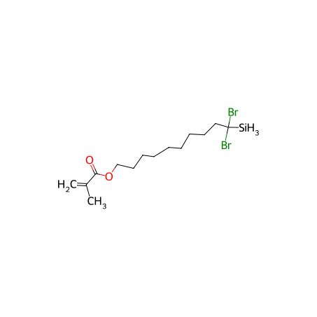 C=C(C)C(=O)OCCCCCCCCCC([SiH3])(Br)Br